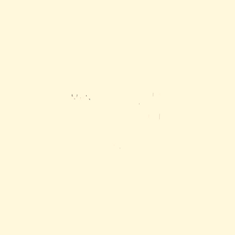 CNC1=CCC(C)(C(C)(C)C)C=C1CC(C)(C)C